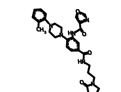 Cc1ccccc1N1CCN(c2ccc(C(=O)NCCCN3CCCC3=O)cc2NC(=O)c2cocn2)CC1